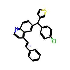 Clc1ccc(C(c2ccsc2)c2ccc3nccc(/C=C/c4ccccc4)c3c2)cc1